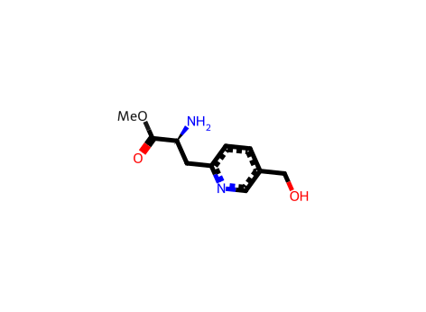 COC(=O)[C@@H](N)Cc1ccc(CO)cn1